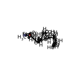 CCCc1cc2c(cc1C)C(c1ccccc1C(=O)N(C)CCCC(=O)NCCNC(=O)c1cccc(C(=O)NC(CCCSSCCC(=O)NCC#Cc3cn([C@H]4CC(O)[C@@H](COPOPOPO)O4)c4ncnc(N)c34)C(CCCCC(=O)NC(CC(=O)O)C(=O)NC(CC(=O)O)C(=O)O)NC=O)c1)C1C=C(C)/C(=N/CC)C=C1C2